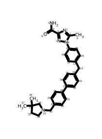 Cc1nc(C(N)=O)nn1-c1ccc(Cc2ccc(-c3ccc(CN4CCC(C)(C)C4)cc3)cc2)cc1